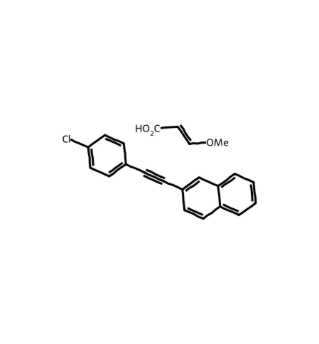 COC=CC(=O)O.Clc1ccc(C#Cc2ccc3ccccc3c2)cc1